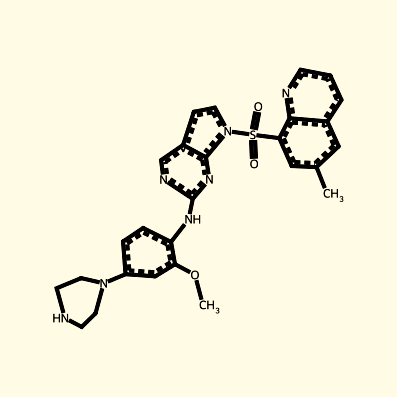 COc1cc(N2CCNCC2)ccc1Nc1ncc2ccn(S(=O)(=O)c3cc(C)cc4cccnc34)c2n1